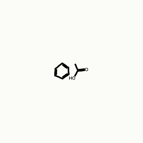 CC(=O)O.c1ccccc1